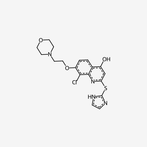 Oc1cc(Sc2ncc[nH]2)nc2c(Cl)c(OCCN3CCOCC3)ccc12